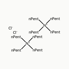 CCCCC[N+](CCCCC)(CCCCC)CCCCC.CCCCC[N+](CCCCC)(CCCCC)CCCCC.[Cl-].[Cl-]